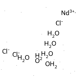 O.O.O.O.O.O.[Cl-].[Cl-].[Cl-].[Nd+3]